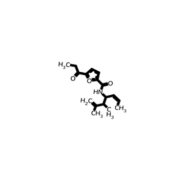 C=C(C)C(C)C(/C=C\C)NC(=O)c1ccc(C(=O)CC)o1